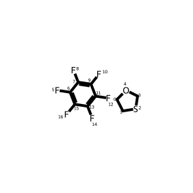 C1CSCO1.Fc1c(F)c(F)c(F)c(F)c1F